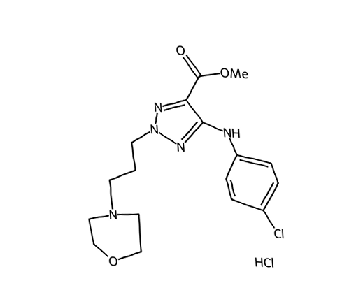 COC(=O)c1nn(CCCN2CCOCC2)nc1Nc1ccc(Cl)cc1.Cl